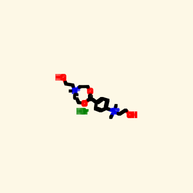 Br.C[N+]1(CCO)CCOB(c2ccc([N+](C)(C)CCO)cc2)OCC1